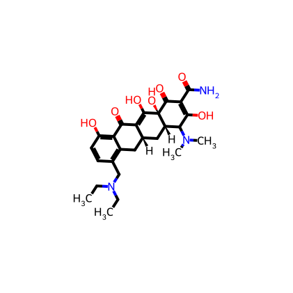 CCN(CC)Cc1ccc(O)c2c1C[C@H]1C[C@H]3C(N(C)C)C(O)=C(C(N)=O)C(=O)[C@@]3(O)C(O)=C1C2=O